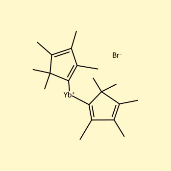 CC1=C(C)C(C)(C)[C]([Yb+][C]2=C(C)C(C)=C(C)C2(C)C)=C1C.[Br-]